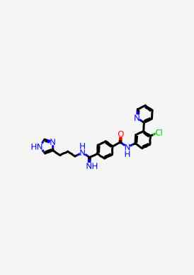 N=C(NCCCc1c[nH]cn1)c1ccc(C(=O)Nc2ccc(Cl)c(-c3ccccn3)c2)cc1